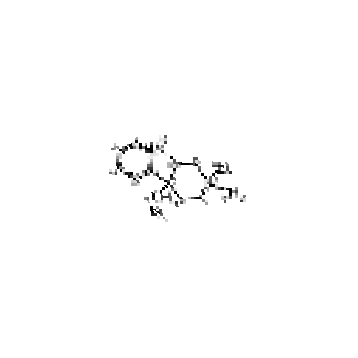 CC[N+]1(C)CCC(C)(c2ccccc2)C(C)C1.[Br-]